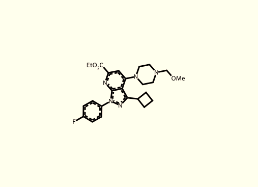 CCOC(=O)c1cc(N2CCN(COC)CC2)c2c(C3CCC3)nn(-c3ccc(F)cc3)c2n1